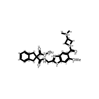 COc1cc2sc(CNC(=O)C3(C(=O)OC(C)(C)C)Cc4ccccc4C3)nc2cc1C(=O)N1CC(N(C)C)C1